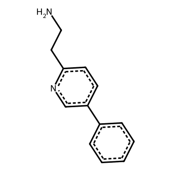 NCCc1ccc(-c2ccccc2)cn1